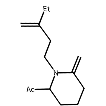 C=C(CC)CCN1C(=C)CCCC1C(C)=O